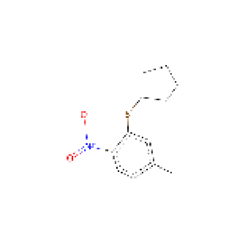 Cc1ccc([N+](=O)[O-])c(SC2CCCC2)c1